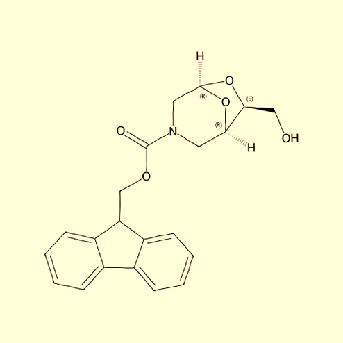 O=C(OCC1c2ccccc2-c2ccccc21)N1C[C@H]2O[C@@H](CO)[C@@H](C1)O2